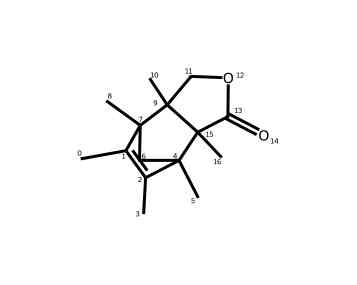 CC1=C(C)C2(C)CC1(C)C1(C)COC(=O)C21C